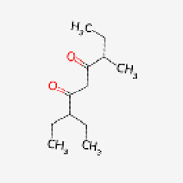 CCC(C)C(=O)CC(=O)C(CC)CC